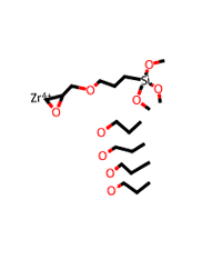 CCC[O-].CCC[O-].CCC[O-].CCC[O-].CO[Si](CCCOCC1CO1)(OC)OC.[Zr+4]